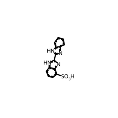 O=S(=O)(O)c1cccc2[nH]c(-c3nc4ccccc4[nH]3)nc12